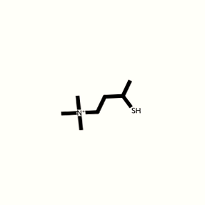 CC(S)CC[N+](C)(C)C